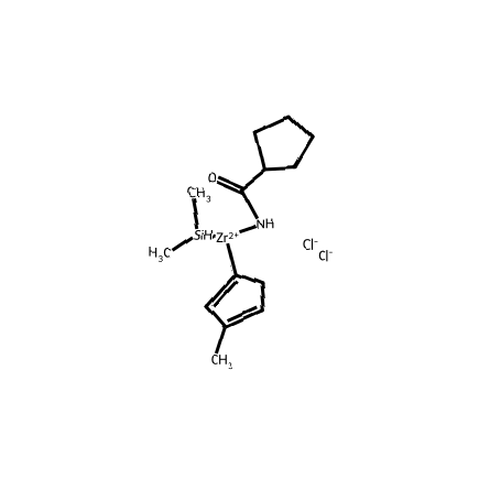 CC1=CC[C]([Zr+2]([NH]C(=O)C2CCCC2)[SiH](C)C)=C1.[Cl-].[Cl-]